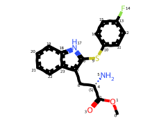 COC(=O)[C@@H](N)Cc1c(Sc2ccc(F)cc2)[nH]c2ccccc12